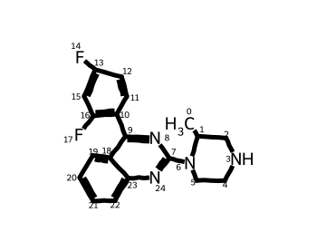 CC1CNCCN1c1nc(-c2ccc(F)cc2F)c2ccccc2n1